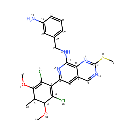 COC1=C(Cl)C(c2cc3cnc(SC)nc3c(NCc3cccc(N)c3)n2)=C(Cl)C(OC)C1C